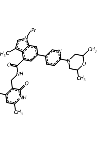 Cc1cc(C)c(CNC(=O)c2cc(-c3ccc(N4CC(C)OC(C)C4)nc3)cc3c2c(C)cn3C(C)C)c(=O)[nH]1